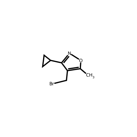 Cc1onc(C2CC2)c1CBr